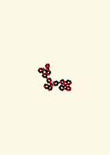 c1ccc(-n2c3ccccc3c3ccccc32)c(-c2ccc(-c3ccc(N(c4ccc(-c5ccc6c(c5)C5(c7ccccc7-c7ccccc75)c5ccccc5-6)cc4)c4cccc5ccccc45)cc3)cc2)c1